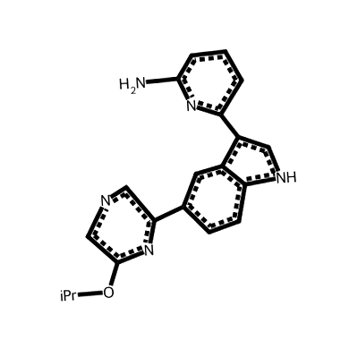 CC(C)Oc1cncc(-c2ccc3[nH]cc(-c4cccc(N)n4)c3c2)n1